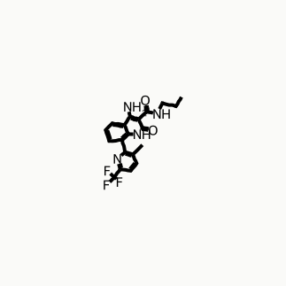 CCCNC(=O)c1c(N)c2cccc(-c3nc(C(F)(F)F)ccc3C)c2[nH]c1=O